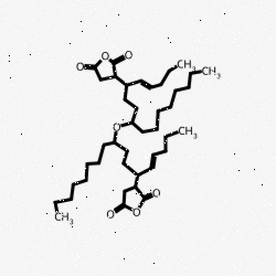 CCC/C=C/C(CCC(CCCCCCCC)OC(CCCCCCCC)CCC(/C=C/CCC)C1CC(=O)OC1=O)C1CC(=O)OC1=O